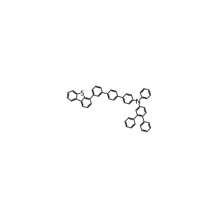 c1ccc(-c2ccc(N(c3ccccc3)c3ccc(-c4ccc(-c5cccc(-c6cccc7c6sc6ccccc67)c5)cc4)cc3)cc2-c2ccccc2)cc1